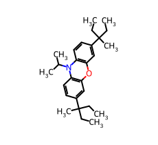 CCC(C)(CC)c1ccc2c(c1)Oc1cc(C(C)(CC)CC)ccc1N2C(C)C